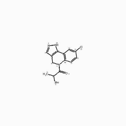 CCC(C)C(C)C(=O)N1Cc2cn[nH]c2-c2cc(Cl)ccc21